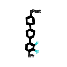 CCCCCc1ccc(-c2ccc(-c3ccc(CCC)c(F)c3F)cc2)cc1